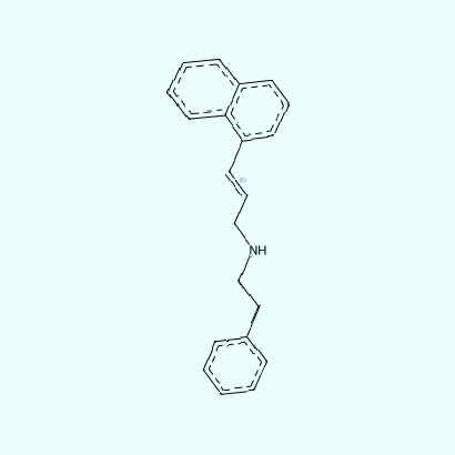 C(=C\c1cccc2ccccc12)/CNCCc1ccccc1